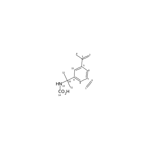 C=C.C=C(C)c1cccc(C(C)(C)NC(=O)O)c1